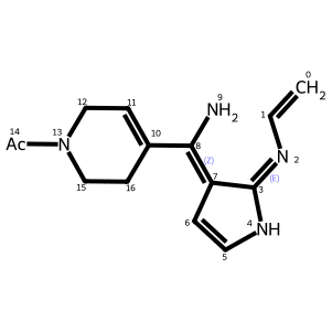 C=C/N=C1/NC=C/C1=C(/N)C1=CCN(C(C)=O)CC1